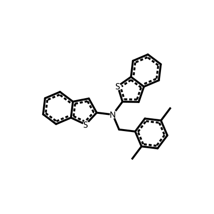 Cc1ccc(C)c(CN(c2cc3ccccc3s2)c2cc3ccccc3s2)c1